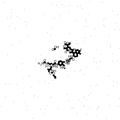 C=CCOC(=O)N[C@H](C(=O)N[C@@H](CCCNC(N)=O)C(=O)Nc1ccc(COP(=O)(O)OCC(=O)N[C@H]2CCc3c(C)c(F)cc4nc5c(c2c34)Cn2c-5cc3c(c2=O)COC(=O)[C@]3(O)CC)c(CNC)c1)C(C)C.O=CO